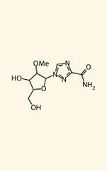 COC1C(O)C(CO)OC1n1cnc(C(N)=O)n1